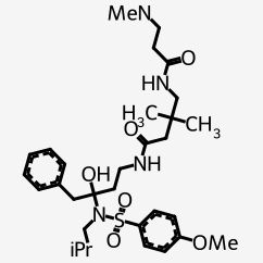 CNCCC(=O)NCC(C)(C)CC(=O)NCCC(O)(Cc1ccccc1)N(CC(C)C)S(=O)(=O)c1ccc(OC)cc1